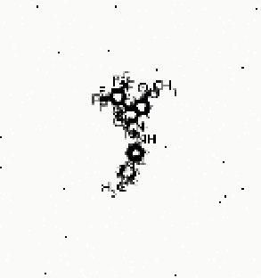 COC(=O)c1ccc2c(c1)C(c1cc(C(F)(F)F)cc(C(F)(F)F)c1)S(=O)(=O)c1cnc(Nc3ccc(N4CCN(C)CC4)cc3)nc1-2